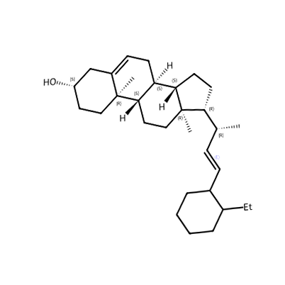 CCC1CCCCC1/C=C/[C@@H](C)[C@H]1CC[C@H]2[C@@H]3CC=C4C[C@@H](O)CC[C@]4(C)[C@H]3CC[C@]12C